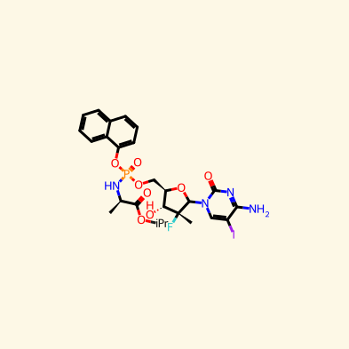 CC(C)OC(=O)[C@@H](C)NP(=O)(OC[C@H]1OC(n2cc(I)c(N)nc2=O)[C@](C)(F)[C@@H]1O)Oc1cccc2ccccc12